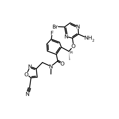 C[C@@H](Oc1nc(Br)cnc1N)c1cc(F)ccc1C(=O)N(C)Cc1cc(C#N)on1